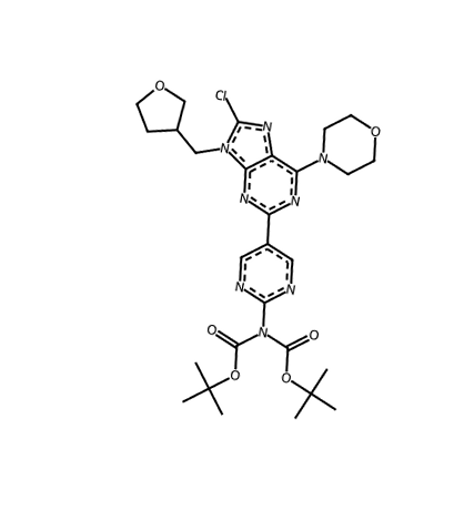 CC(C)(C)OC(=O)N(C(=O)OC(C)(C)C)c1ncc(-c2nc(N3CCOCC3)c3nc(Cl)n(CC4CCOC4)c3n2)cn1